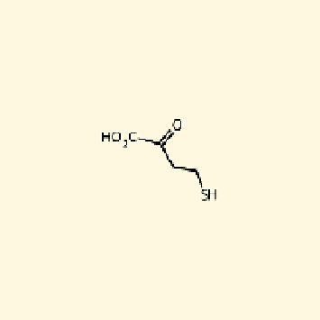 O=C(O)C(=O)CCS